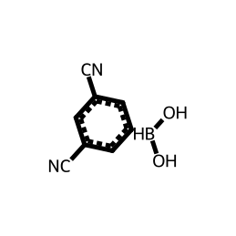 N#Cc1cccc(C#N)c1.OBO